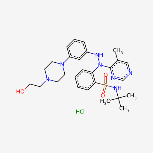 Cc1cncnc1N(Nc1cccc(N2CCN(CCO)CC2)c1)c1ccccc1S(=O)(=O)NC(C)(C)C.Cl